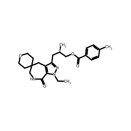 CCn1nc(C[C@@H](C)COC(=O)c2ccc(C)cc2)c2c1C(=O)NCC1(CCOCC1)C2